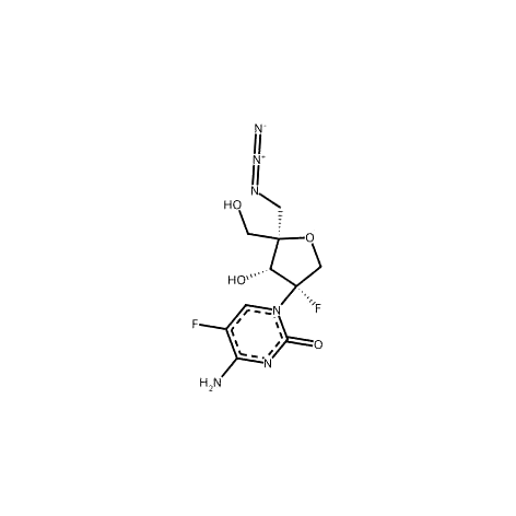 [N-]=[N+]=NC[C@]1(CO)OC[C@@](F)(n2cc(F)c(N)nc2=O)[C@@H]1O